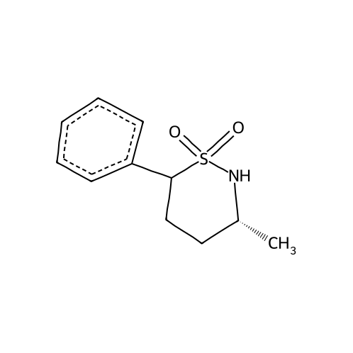 C[C@@H]1CCC(c2ccccc2)S(=O)(=O)N1